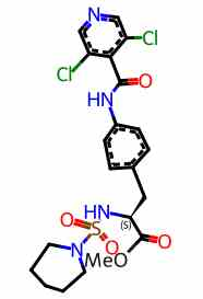 COC(=O)[C@H](Cc1ccc(NC(=O)c2c(Cl)cncc2Cl)cc1)NS(=O)(=O)N1CCCCC1